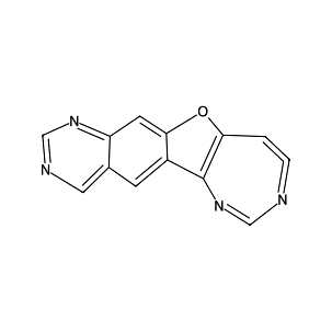 C1=Cc2oc3cc4ncncc4cc3c2N=CN=1